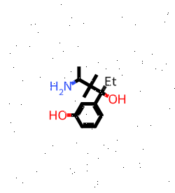 CCC(O)(c1cccc(O)c1)C(C)(C)C(C)N